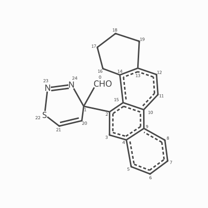 O=CC1(c2cc3ccccc3c3ccc4c(c23)CCCC4)C=CSN=N1